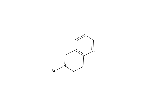 CC(=O)N1CCc2[c]cccc2C1